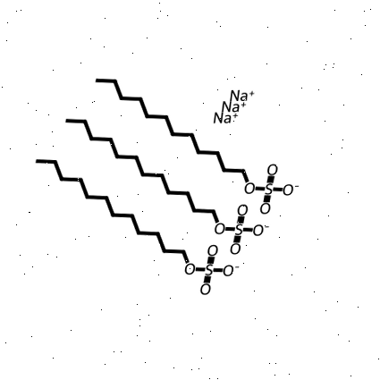 CCCCCCCCCCCCOS(=O)(=O)[O-].CCCCCCCCCCCCOS(=O)(=O)[O-].CCCCCCCCCCCCOS(=O)(=O)[O-].[Na+].[Na+].[Na+]